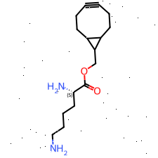 NCCCC[C@H](N)C(=O)OCC1C2CCC#CCCC21